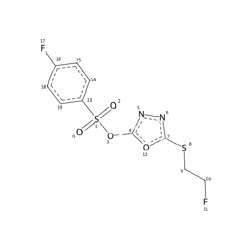 O=S(=O)(Oc1nnc(SCCF)o1)c1ccc(F)cc1